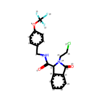 O=C(NCc1ccc(OC(F)(F)F)cc1)C1c2ccccc2C(=O)N1CCCl